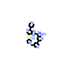 FC1(F)CCN(Cc2cncc(-c3cnc4[nH]nc(-c5nc6c(-c7ccncc7)nccc6[nH]5)c4c3)c2)C1